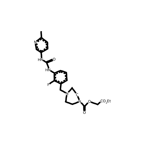 CCOC(=O)COC(=O)N1CCN(Cc2cccc(NC(=O)Nc3ccc(C)nc3)c2F)CC1